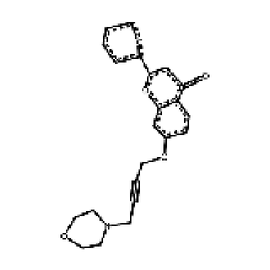 O=c1cc(-c2ccccc2)oc2cc(OCC#CCN3CCOCC3)ccc12